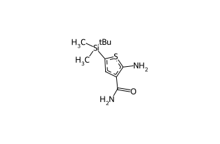 CC(C)(C)[Si](C)(C)c1cc(C(N)=O)c(N)s1